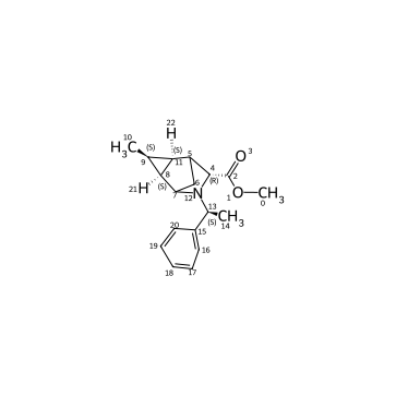 COC(=O)[C@H]1C2CC([C@H]3[C@@H](C)[C@@H]23)N1[C@@H](C)c1ccccc1